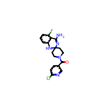 NC1=NC2(CCN(C(=O)c3ccc(Cl)nc3)CC2)Nc2cccc(F)c21